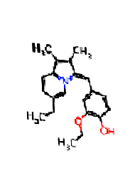 CCOc1cc(/C=C2/C(C)=C(C)c3ccc(CC)c[n+]32)ccc1O